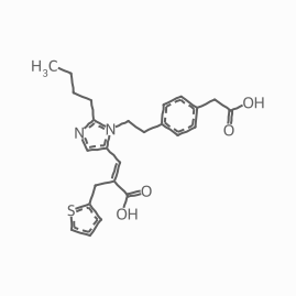 CCCCc1ncc(/C=C(\Cc2cccs2)C(=O)O)n1CCc1ccc(CC(=O)O)cc1